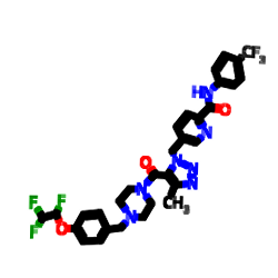 Cc1nnn(Cc2ccc(C(=O)Nc3ccc(C(F)(F)F)cc3)nc2)c1C(=O)N1CCN(Cc2ccc(OC(F)C(F)F)cc2)CC1